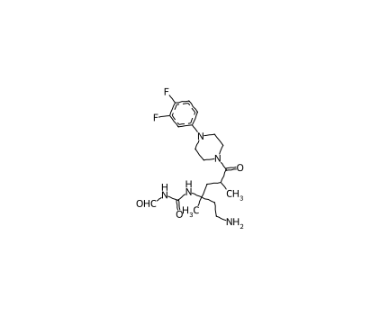 CC(CC(C)(CCN)NC(=O)NC=O)C(=O)N1CCN(c2ccc(F)c(F)c2)CC1